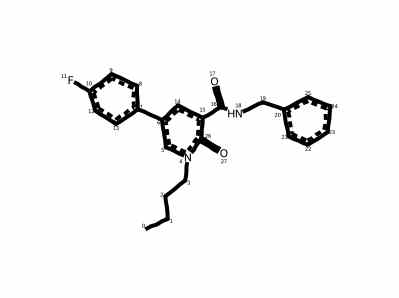 CCCCn1cc(-c2ccc(F)cc2)cc(C(=O)NCc2ccccc2)c1=O